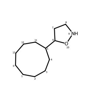 C1CCCCC(C2CCNO2)CCC1